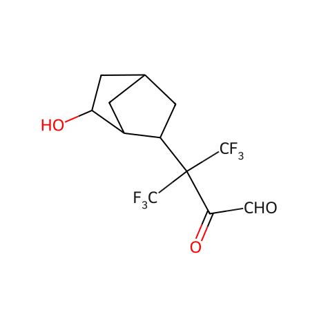 O=CC(=O)C(C1CC2CC(O)C1C2)(C(F)(F)F)C(F)(F)F